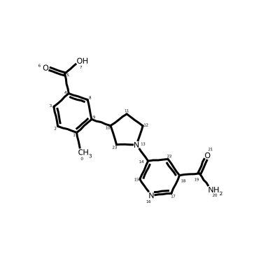 Cc1ccc(C(=O)O)cc1C1CCN(c2cncc(C(N)=O)c2)C1